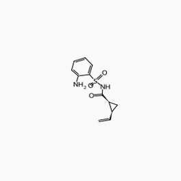 C=C[C@@H]1C[C@@H]1C(=O)NS(=O)(=O)c1ccccc1N